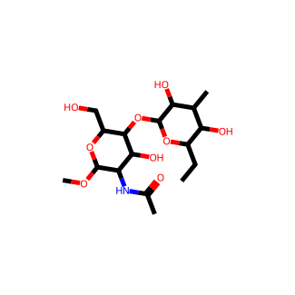 CCC1OC(OC2C(CO)OC(OC)C(NC(C)=O)C2O)C(O)C(C)C1O